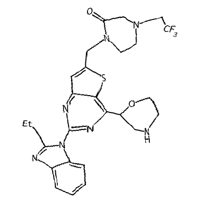 CCc1nc2ccccc2n1-c1nc(C2CNCCO2)c2sc(CN3CCN(CC(F)(F)F)CC3=O)cc2n1